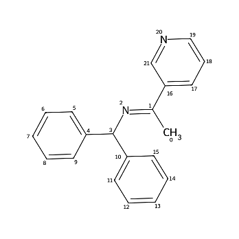 C/C(=N\C(c1ccccc1)c1ccccc1)c1cccnc1